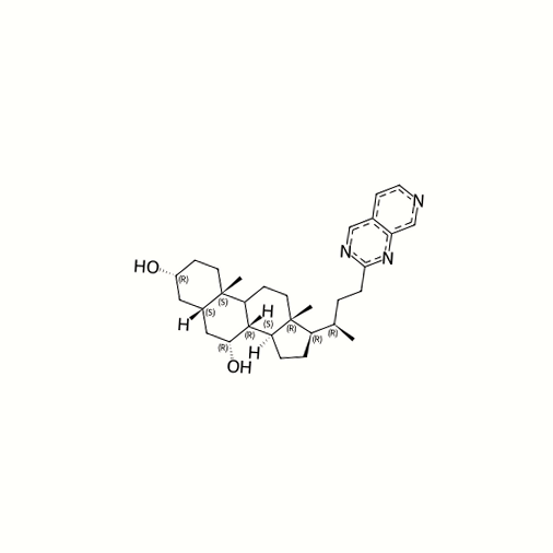 C[C@H](CCc1ncc2ccncc2n1)[C@H]1CC[C@H]2[C@H]3C(CC[C@]12C)[C@@]1(C)CC[C@@H](O)C[C@H]1C[C@H]3O